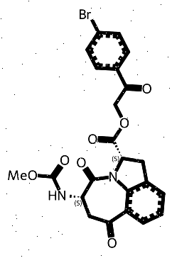 COC(=O)N[C@H]1CC(=O)c2cccc3c2N(C1=O)[C@H](C(=O)OCC(=O)c1ccc(Br)cc1)C3